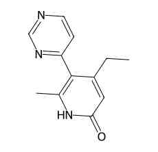 CCc1cc(=O)[nH]c(C)c1-c1ccncn1